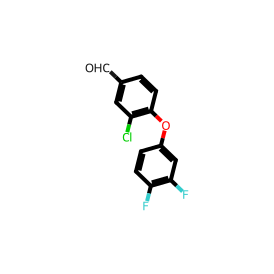 O=Cc1ccc(Oc2ccc(F)c(F)c2)c(Cl)c1